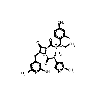 CC[C@@H](NC(=O)N1C(=O)C(Cc2cc(C)nc(N)c2)[C@H]1C(=O)N(C)c1cnn(C)c1)c1ccc(C)cc1F